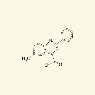 Cc1ccc2nc(-c3ccccc3)cc(C(=O)Cl)c2c1